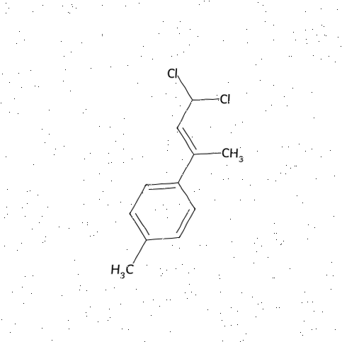 CC(=CC(Cl)Cl)c1ccc(C)cc1